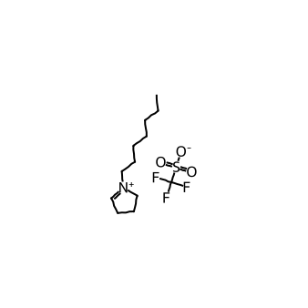 CCCCCCC[N+]1=CCCC1.O=S(=O)([O-])C(F)(F)F